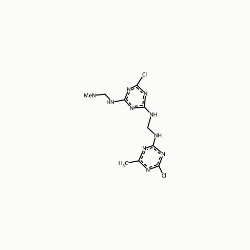 CNCNc1nc(Cl)nc(NCNc2nc(C)nc(Cl)n2)n1